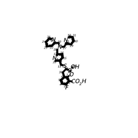 O=C(O)c1c(F)ccc2c1OB(O)[C@@H](SCc1ccc(CN(Cc3ccccn3)Cc3ccccn3)nc1)C2